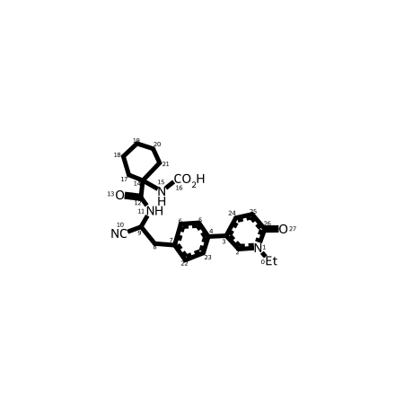 CCn1cc(-c2ccc(CC(C#N)NC(=O)C3(NC(=O)O)CCCCC3)cc2)ccc1=O